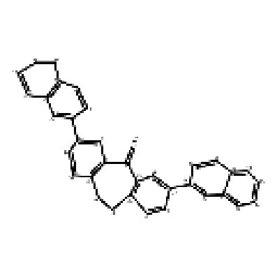 O=C1c2cc(-c3ccc4c(c3)C=CCC4)ccc2CCc2ccc(-c3ccc4ccccc4c3)cc21